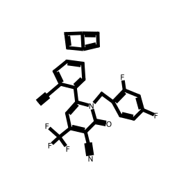 C#Cc1ccccc1-c1cc(C(F)(F)F)c(C#N)c(=O)n1Cc1ccc(F)cc1F.c1cc2ccc1-2